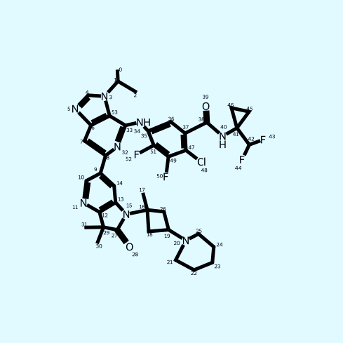 CC(C)n1cnc2cc(-c3cnc4c(c3)N(C3(C)CC(N5CCCCC5)C3)C(=O)C4(C)C)nc(Nc3cc(C(=O)NC4(C(F)F)CC4)c(Cl)c(F)c3F)c21